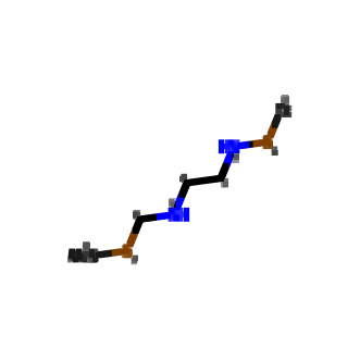 CCSNCCNCSSC